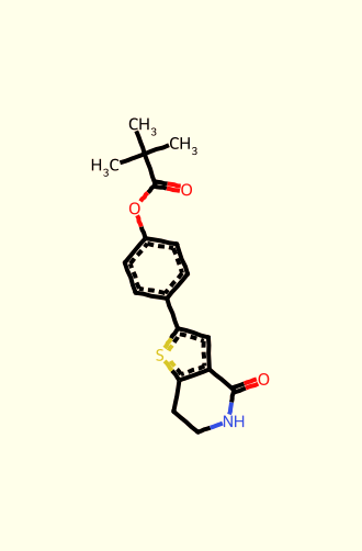 CC(C)(C)C(=O)Oc1ccc(-c2cc3c(s2)CCNC3=O)cc1